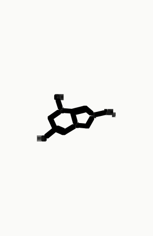 NN1C=C2N(O)CC(O)=CN2C1